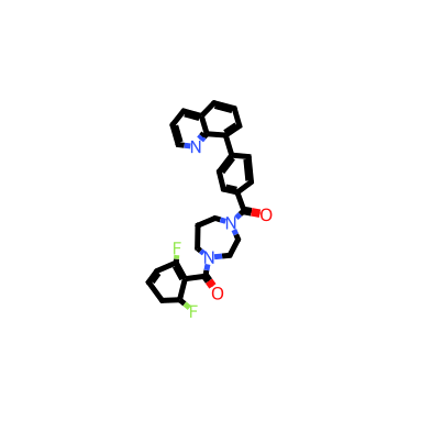 O=C(C1=C(F)C=CCC1F)N1CCCN(C(=O)c2ccc(-c3cccc4cccnc34)cc2)CC1